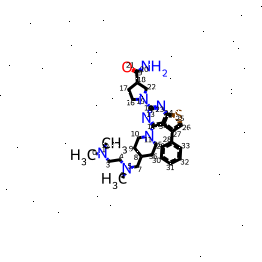 CN(C)CCN(C)CC1CCN(c2nc(N3CCC(C(N)=O)C3)nc3scc(-c4ccccc4)c23)CC1